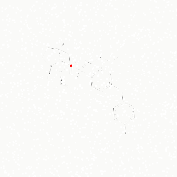 COCCOC(=O)N1[C@@H]2CC[C@H]1[C@H](C(=O)O)N(S(=O)(=O)c1ccc(Oc3ccc(F)cc3)cn1)C2